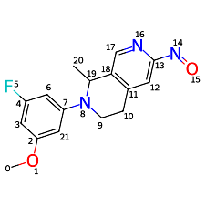 COc1cc(F)cc(N2CCc3cc(N=O)ncc3C2C)c1